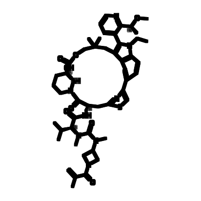 C=C(C)C(=O)N1CC(N(C)C(=O)N(C)[C@H](C(=O)N[C@H]2Cc3nc(cs3)-c3ccc4c(c3)c(c(-c3cccnc3[C@H](C)OC)n4CC)CC(C)(C)COC(=O)[C@@]3(O)CCCN(N3)C2=O)C(C)C)C1